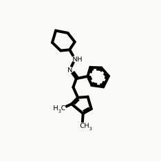 CC1=CCC(CC(=NNC2CCCCC2)c2ccccc2)=C1C